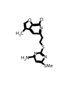 CSc1cc(N)nc(SCCc2cc3c(C)coc3c(Cl)n2)n1